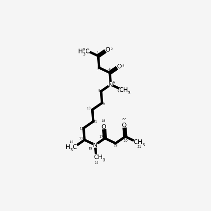 CC(=O)CC(=O)N(C)CCCCCC(C)N(C)C(=O)CC(C)=O